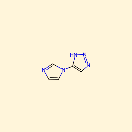 [c]1nn[nH]c1-n1ccnc1